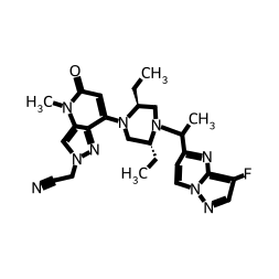 CC[C@H]1CN(C(C)c2ccn3ncc(F)c3n2)[C@H](CC)CN1c1cc(=O)n(C)c2cn(CC#N)nc12